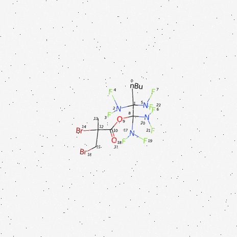 CCCCC(N(F)F)(N(F)F)C(OC(=O)C(C)(Br)CBr)(N(F)F)N(F)F